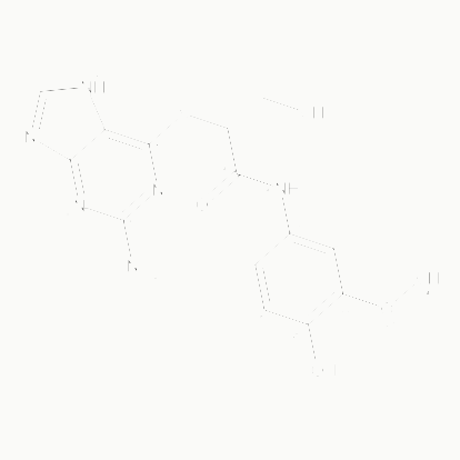 CC[C@@H](Sc1nc(N)nc2nc[nH]c12)C(=O)Nc1ccc(O)c(OC)c1